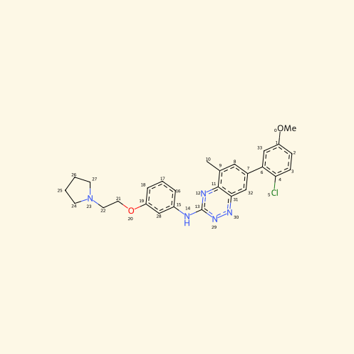 COc1ccc(Cl)c(-c2cc(C)c3nc(Nc4cccc(OCCN5CCCC5)c4)nnc3c2)c1